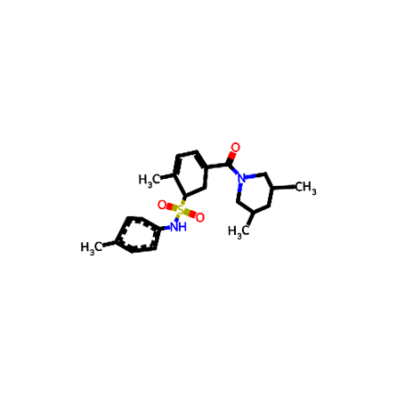 CC1=CC=C(C(=O)N2CC(C)CC(C)C2)CC1S(=O)(=O)Nc1ccc(C)cc1